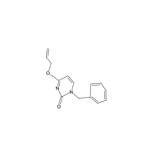 C=CCOc1ccn(Cc2ccccc2)c(=O)n1